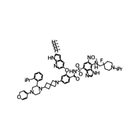 CC(C)c1ccccc1C1CN(C2=CCOC=C2)CCN1C1CC2(C1)CN(c1ccc(C(=O)NS(=O)(=O)c3cc([N+](=O)[O-])c(NCC4(F)CCN(C(C)C)CC4)c4[nH]cnc34)c(Oc3cnc4[nH]ccc4c3)c1)C2.[H+].[H+].[H+].[H+]